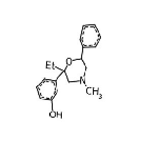 CCC1(c2cccc(O)c2)CN(C)CC(c2ccccc2)O1